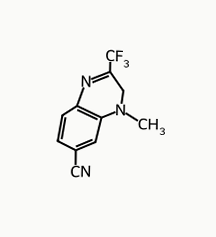 CN1CC(C(F)(F)F)=Nc2ccc(C#N)cc21